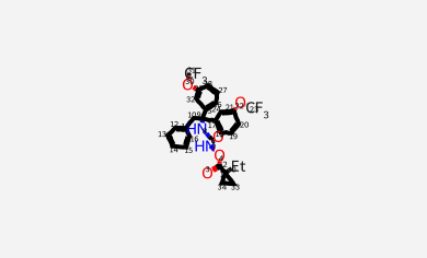 CCC1(C(=O)ONC(=O)NC(Cc2ccccc2)(c2cccc(OC(F)(F)F)c2)c2cccc(OC(F)(F)F)c2)CC1